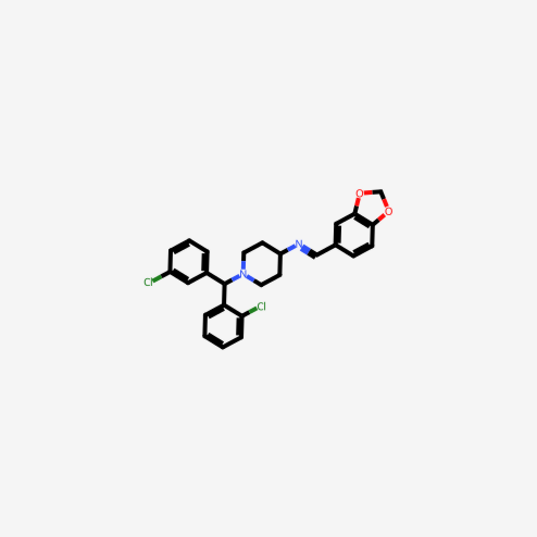 Clc1cccc(C(c2ccccc2Cl)N2CCC(N=Cc3ccc4c(c3)OCO4)CC2)c1